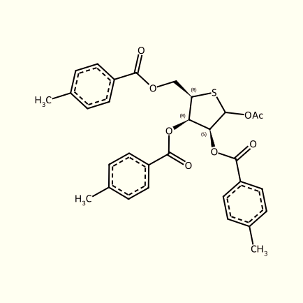 CC(=O)OC1S[C@H](COC(=O)c2ccc(C)cc2)[C@H](OC(=O)c2ccc(C)cc2)[C@@H]1OC(=O)c1ccc(C)cc1